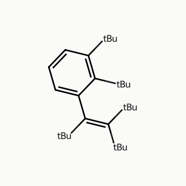 CC(C)(C)C(=C(C(C)(C)C)C(C)(C)C)c1cccc(C(C)(C)C)c1C(C)(C)C